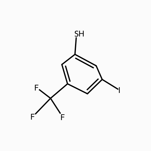 FC(F)(F)c1cc(S)cc(I)c1